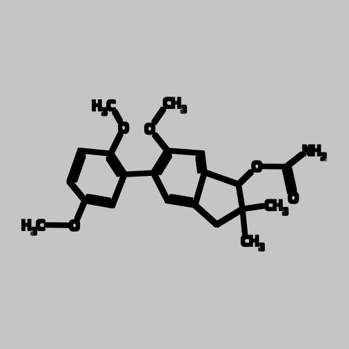 COc1ccc(OC)c(-c2cc3c(cc2OC)C(OC(N)=O)C(C)(C)C3)c1